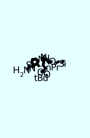 CCCC(C(=O)OC(C)(C)C)[C@H](Cc1cccc2sc(N)nc12)c1nnnn1COCC[Si](C)(C)C